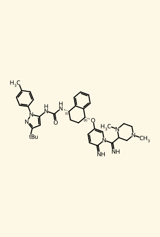 Cc1ccc(-n2nc(C(C)(C)C)cc2NC(=O)N[C@H]2CC[C@@H](Oc3ccc(=N)n(C(=N)C4CN(C)CCN4C)c3)c3ccccc32)cc1